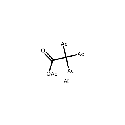 CC(=O)OC(=O)C(C(C)=O)(C(C)=O)C(C)=O.[Al]